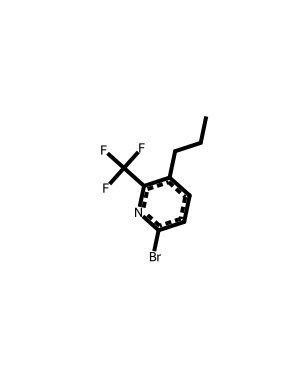 CCCc1ccc(Br)nc1C(F)(F)F